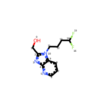 OCc1nc2ncccc2n1CCCC(F)F